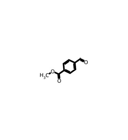 COC(=O)c1ccc([C]=O)cc1